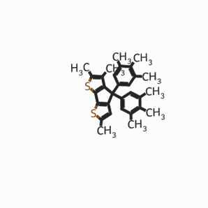 Cc1cc2c(s1)-c1sc(C)c(C)c1C2(c1cc(C)c(C)c(C)c1)c1cc(C)c(C)c(C)c1